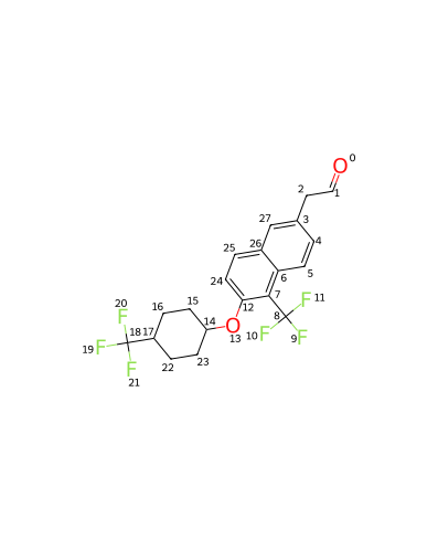 O=CCc1ccc2c(C(F)(F)F)c(OC3CCC(C(F)(F)F)CC3)ccc2c1